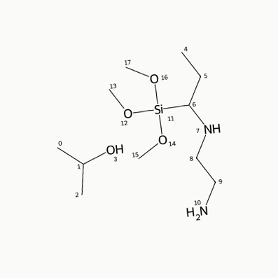 CC(C)O.CCC(NCCN)[Si](OC)(OC)OC